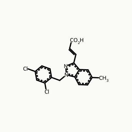 Cc1ccc2c(c1)c(/C=C/C(=O)O)nn2Cc1ccc(Cl)cc1Cl